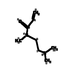 C=CC(=O)N(C)CCN(C)C